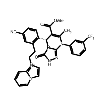 COC(=O)C1=C(C)N(c2cccc(C(F)(F)F)c2)c2n[nH]c(=O)n2[C@@H]1c1ccc(C#N)cc1CC[n+]1ccn2ccccc21